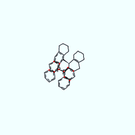 c1ccc(P(c2ccccc2)c2ccc3c(c2[C@H]2C4=C(CCCC4)CCC2P(c2ccccc2)c2ccccc2)CCCC3)cc1